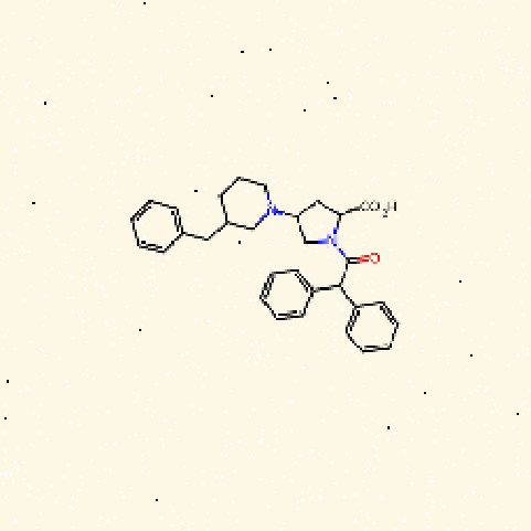 O=C(O)[C@@H]1C[C@H](N2CCCC(Cc3ccccc3)C2)CN1C(=O)C(c1ccccc1)c1ccccc1